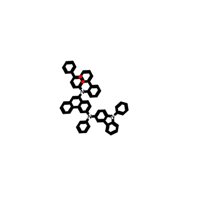 c1ccc(-c2ccc(N(c3ccccc3-c3ccccc3)c3cc4ccccc4c4cc(N(c5ccccc5)c5ccc6c(c5)c5ccccc5n6-c5ccccc5)ccc34)cc2)cc1